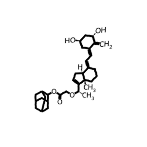 C=C1C(=CC=C2CCC[C@]3(C)C([C@H](C)OCC(=O)OC4C5CC6CC(C5)CC4C6)=CC[C@@H]23)C[C@@H](O)C[C@@H]1O